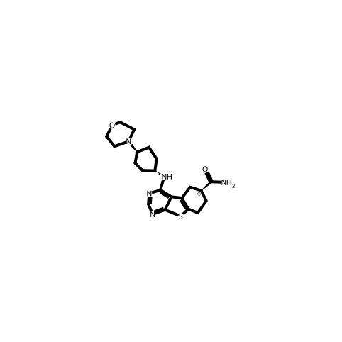 NC(=O)[C@H]1CCc2sc3ncnc(N[C@H]4CC[C@H](N5CCOCC5)CC4)c3c2C1